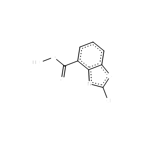 COC(=O)c1cccc2sc(Cl)nc12